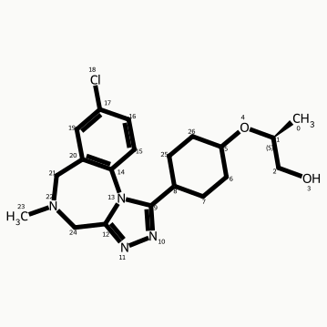 C[C@@H](CO)OC1CCC(c2nnc3n2-c2ccc(Cl)cc2CN(C)C3)CC1